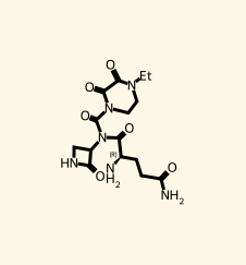 CCN1CCN(C(=O)N(C(=O)[C@H](N)CCC(N)=O)C2CNC2=O)C(=O)C1=O